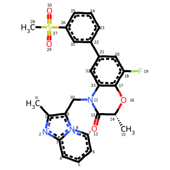 Cc1nc2ccccn2c1CN1C(=O)[C@@H](C)Oc2c(F)cc(-c3cccc(S(C)(=O)=O)c3)cc21